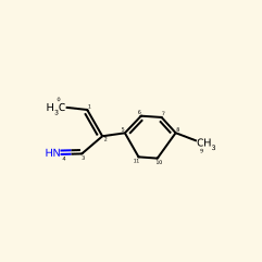 C/C=C(\C=N)C1=CC=C(C)CC1